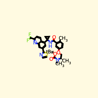 Cc1ccc(OC[C@H](C)N(C)C(=O)OC(C)(C)C)cc1C(=O)NC1(c2cc(-c3nccs3)cc3nc(C(F)F)ccc23)CC1